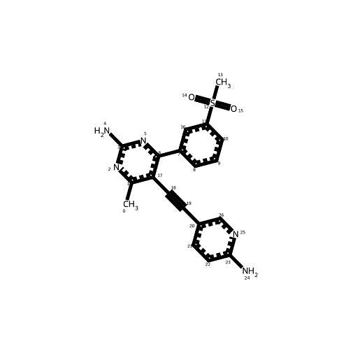 Cc1nc(N)nc(-c2cccc(S(C)(=O)=O)c2)c1C#Cc1ccc(N)nc1